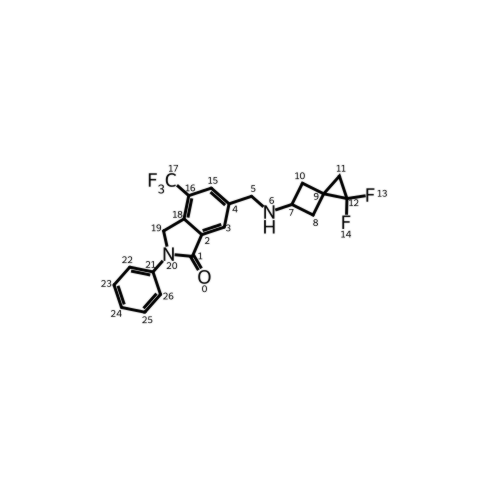 O=C1c2cc(CNC3CC4(C3)CC4(F)F)cc(C(F)(F)F)c2CN1c1ccccc1